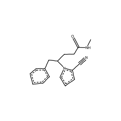 CNC(=O)CCC(Cc1ccccc1)n1cccc1C#N